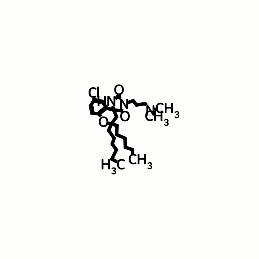 CCCCCCC1(CCCCCC)CC2(NC(=O)N(CCCN(C)C)C2=O)c2cc(Cl)ccc2O1